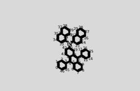 c1ccc(-c2c3ccccc3c(-c3ccccc3)c3cc(N(c4ccc5ccccc5c4)c4cccc5ccccc45)ccc23)cc1